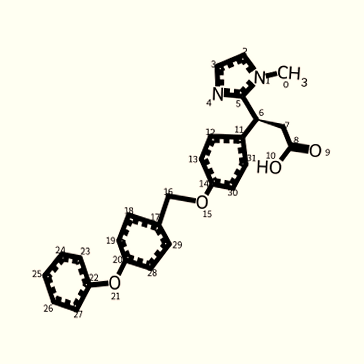 Cn1ccnc1[C@@H](CC(=O)O)c1ccc(OCc2ccc(Oc3ccccc3)cc2)cc1